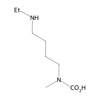 CCNCCCCN(C)C(=O)O